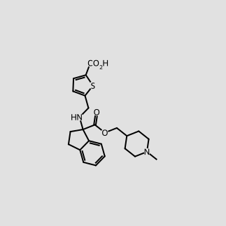 CN1CCC(COC(=O)C2(NCc3ccc(C(=O)O)s3)CCc3ccccc32)CC1